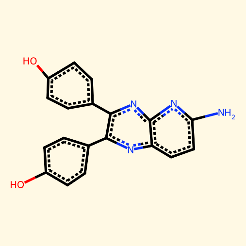 Nc1ccc2nc(-c3ccc(O)cc3)c(-c3ccc(O)cc3)nc2n1